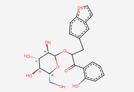 O=C(c1ccccc1O)C(Cc1ccc2occc2c1)OC1O[C@H](CO)[C@@H](O)[C@H](O)[C@H]1O